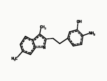 Cc1ccn2c(C)c(CCc3ccc(N)c(O)c3)nc2c1